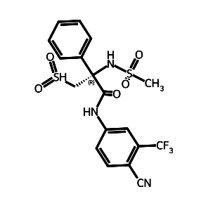 CS(=O)(=O)N[C@@](C[SH](=O)=O)(C(=O)Nc1ccc(C#N)c(C(F)(F)F)c1)c1ccccc1